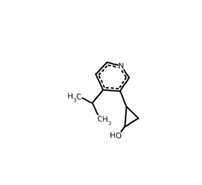 CC(C)c1ccncc1C1CC1O